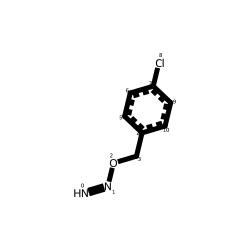 N=NOCc1ccc(Cl)cc1